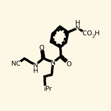 CC(C)CCN(C(=O)NCC#N)C(=O)c1cccc(NC(=O)O)c1